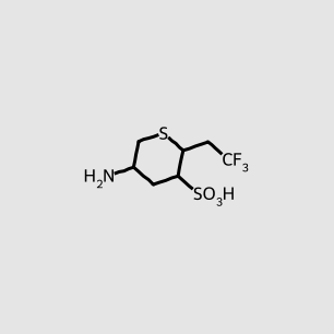 NC1CSC(CC(F)(F)F)C(S(=O)(=O)O)C1